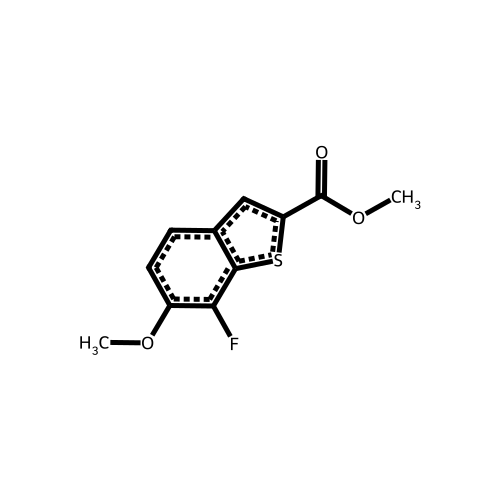 COC(=O)c1cc2ccc(OC)c(F)c2s1